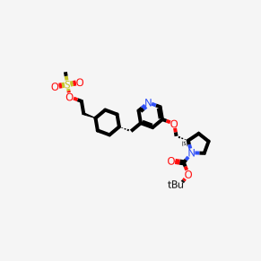 CC(C)(C)OC(=O)N1CCC[C@H]1COc1cncc(C[C@H]2CC[C@H](CCOS(C)(=O)=O)CC2)c1